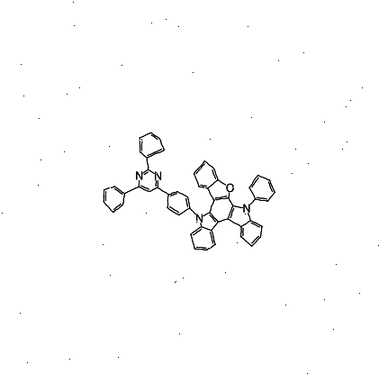 c1ccc(-c2cc(-c3ccc(-n4c5ccccc5c5c6c7ccccc7n(-c7ccccc7)c6c6oc7ccccc7c6c54)cc3)nc(-c3ccccc3)n2)cc1